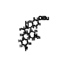 C=C(NCc1ccc(OCC(C)C)cc1)[C@H](Cc1ccc(F)cc1)C1CCN(C)CC1